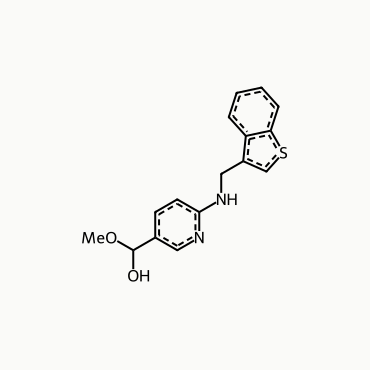 COC(O)c1ccc(NCc2csc3ccccc23)nc1